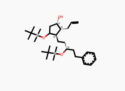 C=CC[C@H]1[C@@H](O)CC(O[Si](C)(C)C(C)(C)C)[C@@H]1CC[C@H](CCc1ccccc1)O[Si](C)(C)C(C)(C)C